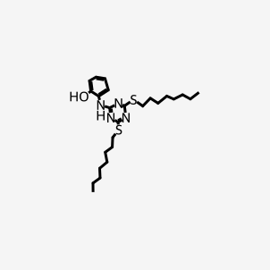 CCCCCCCCSc1nc(Nc2ccccc2O)nc(SCCCCCCCC)n1